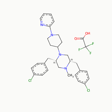 CN1C[C@H](Cc2ccc(Cl)cc2)N(C2CCN(c3ccccn3)CC2)C[C@@H]1Cc1ccc(Cl)cc1.O=C(O)C(F)(F)F